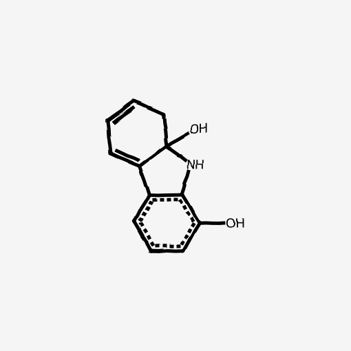 Oc1cccc2c1NC1(O)CC=CC=C21